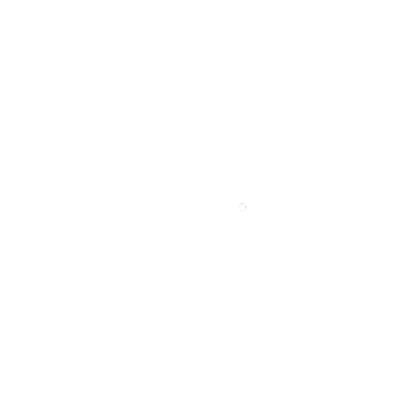 O=S1(=O)NCc2cnsc21